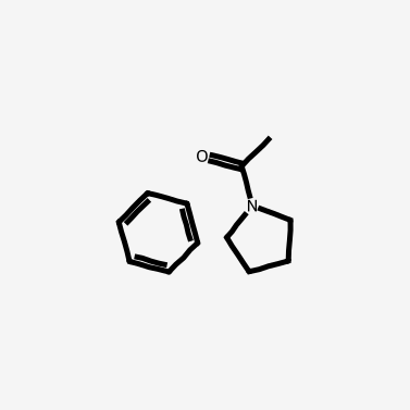 CC(=O)N1CCCC1.c1ccccc1